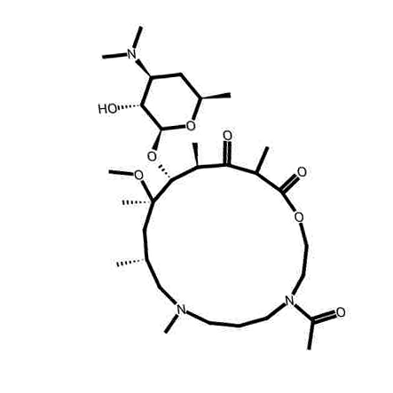 CO[C@]1(C)C[C@@H](C)CN(C)CCCN(C(C)=O)CCOC(=O)C(C)C(=O)[C@H](C)[C@H]1O[C@@H]1O[C@H](C)C[C@H](N(C)C)[C@H]1O